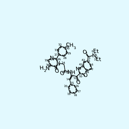 CCN(CC)C(=O)c1ccc2oc(C(=O)C(=Cc3ccccc3)NC(=O)Cn3c(-c4ccc(C)cc4)ncc(N)c3=O)nc2c1